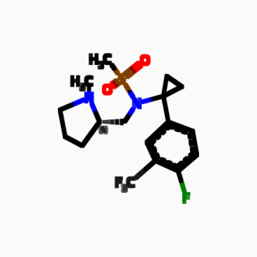 CN1CCC[C@H]1CN(C1(c2ccc(F)c(C(F)(F)F)c2)CC1)S(C)(=O)=O